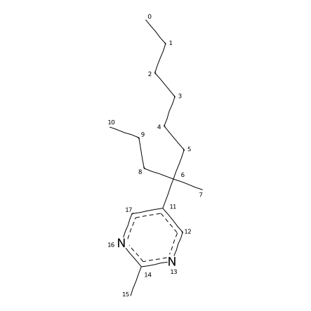 CCCCCCC(C)(CCC)c1cnc(C)nc1